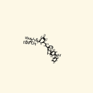 CCCCC(O)C(CCSCc1cccc(CCC(=O)Nc2ccc(Nc3ccccc3)cc2)c1)C(C)(C)C